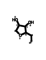 OC1COC(CF)C1O